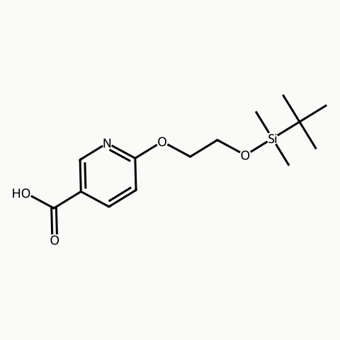 CC(C)(C)[Si](C)(C)OCCOc1ccc(C(=O)O)cn1